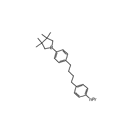 CCCc1ccc(CCCCc2ccc(B3CC(C)(C)C(C)(C)C3)cc2)cc1